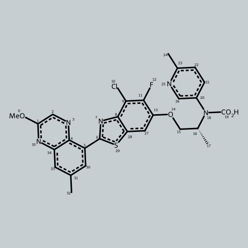 COc1cnc2c(-c3nc4c(Cl)c(F)c(OC[C@@H](C)N(C(=O)O)c5ccc(C)nc5)cc4s3)cc(C)cc2n1